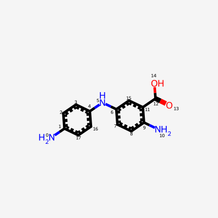 Nc1ccc(Nc2ccc(N)c(C(=O)O)c2)cc1